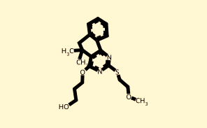 COCCSc1nc(OCCCO)c2c(n1)-c1ccccc1CC2(C)C